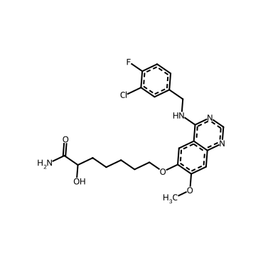 COc1cc2ncnc(NCc3ccc(F)c(Cl)c3)c2cc1OCCCCCC(O)C(N)=O